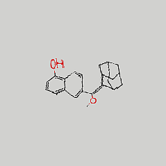 COC(=C1C2CC3CC(C2)CC1C3)c1ccc2c(O)cccc2c1